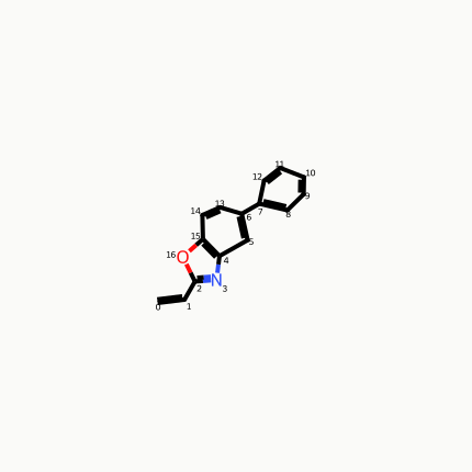 C=Cc1nc2cc(-c3ccccc3)ccc2o1